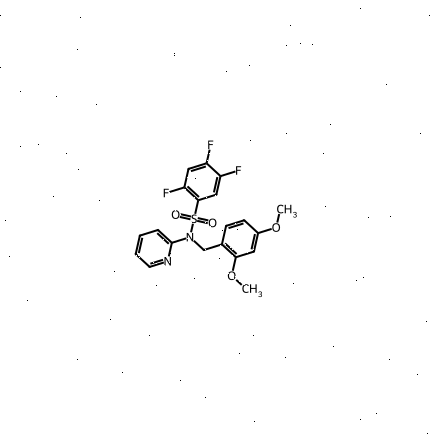 COc1ccc(CN(c2ccccn2)S(=O)(=O)c2cc(F)c(F)cc2F)c(OC)c1